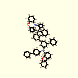 c1ccc(-c2ccc(N(c3cc(-c4ccccc4)cc(-c4cccc5c4-c4ccccc4C54c5ccccc5N5c6ccccc6Oc6cccc4c65)c3)c3cccc4c3oc3ccccc34)cc2)cc1